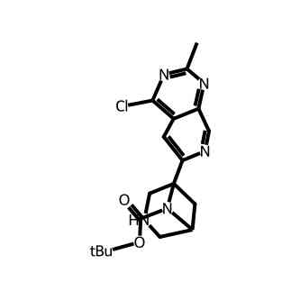 Cc1nc(Cl)c2cc(C34CNCC(C3)N4C(=O)OC(C)(C)C)ncc2n1